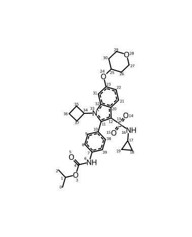 CC(C)OC(=O)Nc1ccc(-c2c(S(=O)(=O)NC3CC3)c3ccc(OC4CCOCC4)cc3n2C2CCC2)cc1